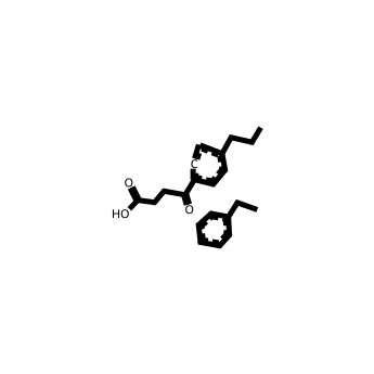 CCCc1ccc(C(=O)CCC(=O)O)cc1.CCc1ccccc1